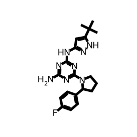 CC(C)(C)c1cc(Nc2nc(N)nc(N3CCCC3c3ccc(F)cc3)n2)n[nH]1